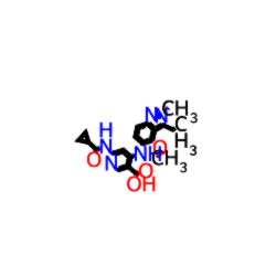 CCc1c2c(OC)c(Nc3cc(NC(=O)C4CC4)ncc3C(=O)O)ccc2nn1C